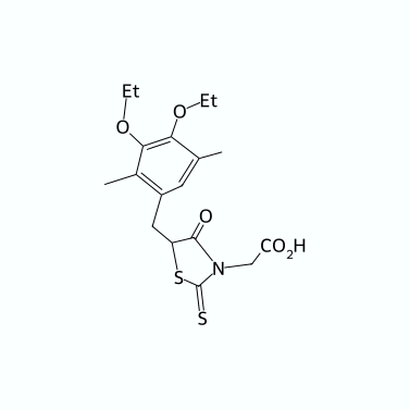 CCOc1c(C)cc(CC2SC(=S)N(CC(=O)O)C2=O)c(C)c1OCC